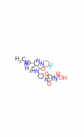 Cc1c(-c2cnn(C)c2)cnc(N2CCCC(F)(F)CC2)c1C(=O)Nc1cccc(S(C)(=O)=NC(=O)C2CN(C(=O)O)C2)c1